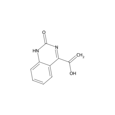 C=C(O)c1nc(=O)[nH]c2ccccc12